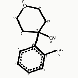 CC(C)c1ccccc1C1(C#N)CCOCC1